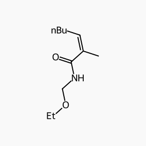 CCCCC=C(C)C(=O)NCOCC